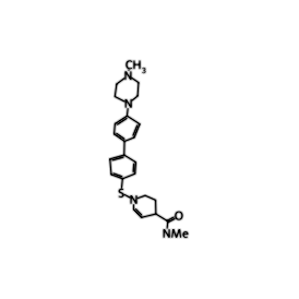 CNC(=O)C1C=CN(Sc2ccc(-c3ccc(N4CCN(C)CC4)cc3)cc2)CC1